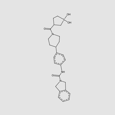 O=C(Nc1ccc(C2CCN(C(=O)C3CCS(O)(O)C3)CC2)cc1)N1Cc2ccccc2C1